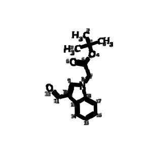 CC(C)(C)OC(=O)Cn1cc(C=O)c2ccccc21